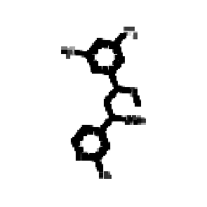 COC(CC(OI)c1cc(C(F)(F)F)cc(C(F)(F)F)c1)c1ccnc(C#N)c1